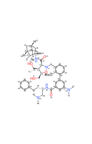 COc1c(CN2O[C@@H](CO)[C@@H]([C@H](C)O)[C@H]2C(=O)N[C@H]2C[C@H]3C[C@@H]([C@@H]2C)C3(C)C)cccc1-c1cc(C(=O)N[C@@H](CCc2ccccc2)CN(C)C)cc(N(C)C)c1